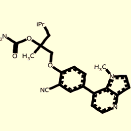 CC(C)CC(C)(COc1ccc(-c2ccnc3ccn(C)c23)cc1C#N)OC(N)=O